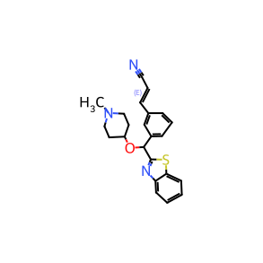 CN1CCC(OC(c2cccc(/C=C/C#N)c2)c2nc3ccccc3s2)CC1